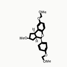 COCOc1ccc([C@@H]2Oc3ccc(OCOC)cc3[C@@H]3C[C@H](OC)C[C@@H]32)cc1